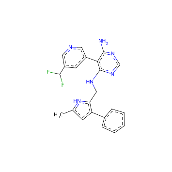 Cc1cc(-c2ccccc2)c(CNc2ncnc(N)c2-c2cncc(C(F)F)c2)[nH]1